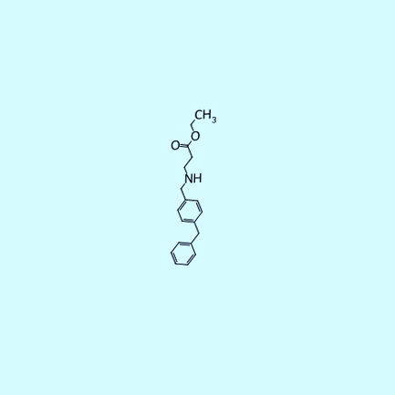 CCOC(=O)CCNCc1ccc(Cc2ccccc2)cc1